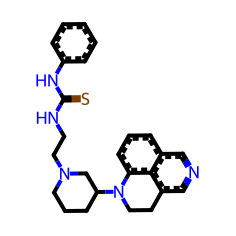 S=C(NCCN1CCCC(N2CCc3cncc4cccc2c34)C1)Nc1ccccc1